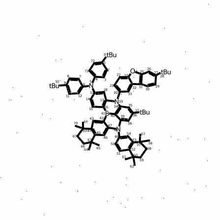 CC(C)(C)c1ccc(N(c2ccc(C(C)(C)C)cc2)c2ccc3c(c2)N(c2ccc4oc5cc(C(C)(C)C)ccc5c4c2)c2cc(C(C)(C)C)cc4c2B3c2cc3c(cc2N4c2ccc4c(c2)C(C)(C)CCC4(C)C)C(C)(C)CCC3(C)C)cc1